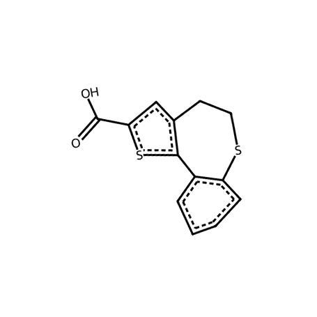 O=C(O)c1cc2c(s1)-c1ccccc1SCC2